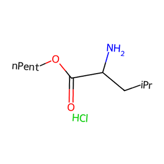 CCCCCOC(=O)C(N)CC(C)C.Cl